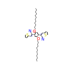 CCCCCCCCCCCCOc1cc(/C(C#N)=C/c2cccs2)c(OCCCCCCCCCCCC)cc1/C(C#N)=C/c1cccs1